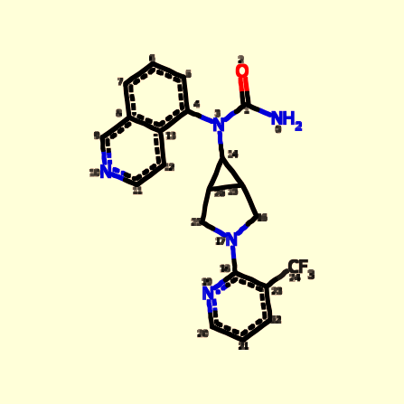 NC(=O)N(c1cccc2cnccc12)C1C2CN(c3ncccc3C(F)(F)F)CC21